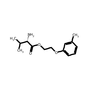 Cc1cccc(OCCOC(=O)[C@@H](N)C(C)C)c1